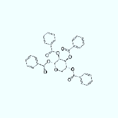 O=C(O[C@H]1OC[C@@H](OC(=O)c2ccccc2)[C@H](OC(=O)c2ccccc2)[C@@H]1OC(=O)c1ccccc1)c1ccccc1